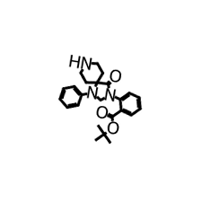 CC(C)(C)OC(=O)c1ccccc1N1CN(c2ccccc2)C2(CCNCC2)C1=O